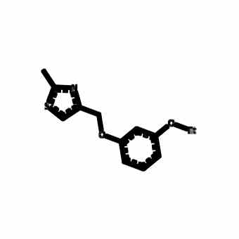 CCOc1cccc(OCc2csc(C)n2)c1